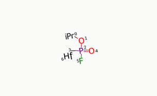 CC(C)OP(C)(=O)F.[Hf]